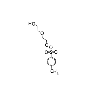 Cc1ccc(S(=O)(=O)OOCCOCCO)cc1